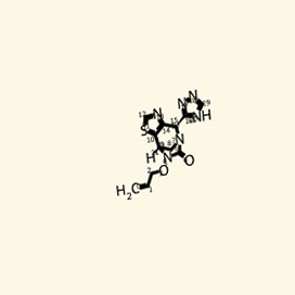 C=CCON1C(=O)N2C[C@H]1c1scnc1[C@H]2c1nnc[nH]1